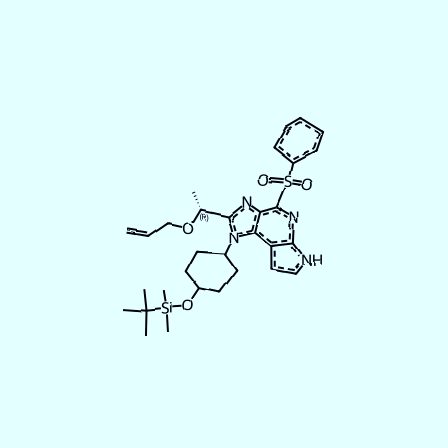 C=CCO[C@H](C)c1nc2c(S(=O)(=O)c3ccccc3)nc3[nH]ccc3c2n1C1CCC(O[Si](C)(C)C(C)(C)C)CC1